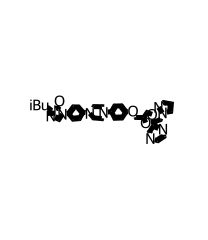 CCC(C)n1ncn(-c2ccc(N3CCN(c4ccc(OCC5COC(Cn6cccn6)(c6cnccn6)O5)cc4)CC3)cc2)c1=O